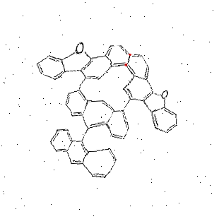 c1ccc2c(-c3c4cccc(-c5cc6ccccc6c6oc7ccccc7c56)c4cc4c(-c5cc6ccccc6c6oc7ccccc7c56)cccc34)c3ccccc3cc2c1